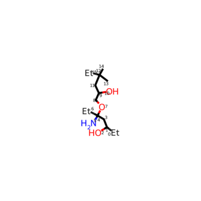 CCC(O)CC(N)(CC)OCC(O)CC(C)(C)CC